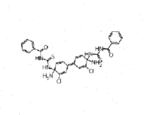 NC1(NC(=S)NC(=O)c2ccccc2)C=CC(=C2C=CC(N)(NC(=S)NC(=O)c3ccccc3)C(Cl)=C2)C=C1Cl